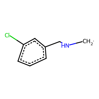 [CH2]NCc1cccc(Cl)c1